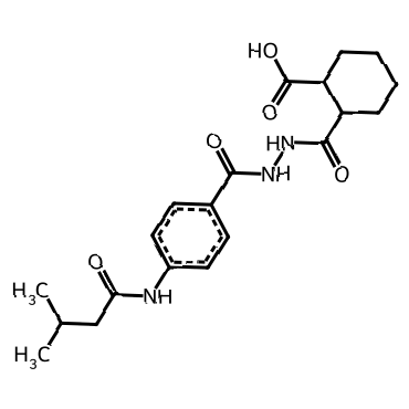 CC(C)CC(=O)Nc1ccc(C(=O)NNC(=O)C2CCCCC2C(=O)O)cc1